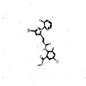 COC(=O)c1cc(Cl)cc(C)c1NC(=O)C=Cc1cc(Br)nn1-c1ncccc1Cl